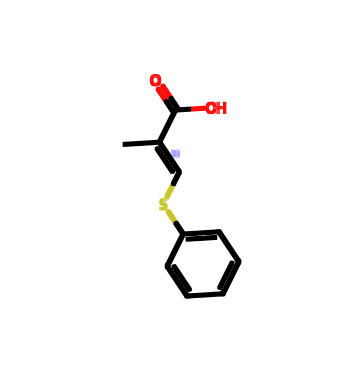 C/C(=C\Sc1ccccc1)C(=O)O